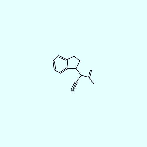 C=C(C)C(C#N)C1CCc2ccccc21